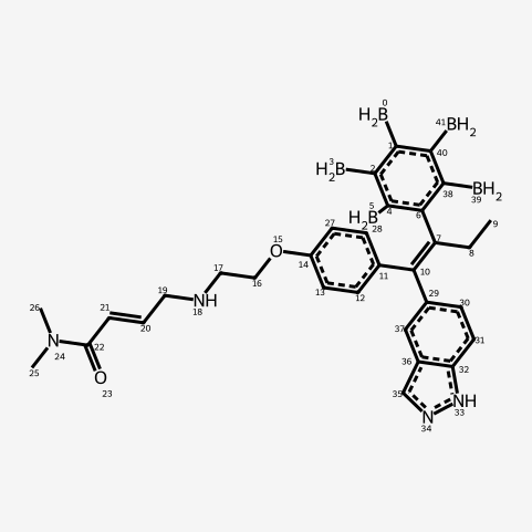 Bc1c(B)c(B)c(/C(CC)=C(\c2ccc(OCCNC/C=C/C(=O)N(C)C)cc2)c2ccc3[nH]ncc3c2)c(B)c1B